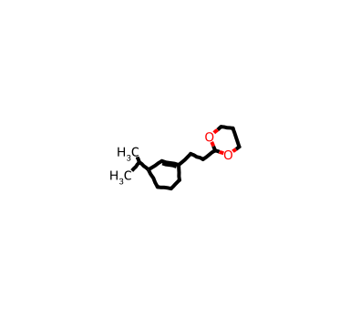 CC(C)C1C=C(CCC2OCCCO2)CCC1